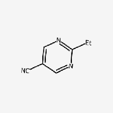 CCc1ncc(C#N)cn1